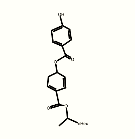 CCCCCCC(C)OC(=O)C1=CCC(OC(=O)c2ccc(O)cc2)C=C1